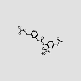 CC(=O)Oc1ccc(OC(=O)Cc2cccc(CO[N+](=O)[O-])c2)c(S(=O)(=O)O)c1